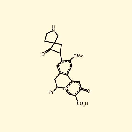 COc1cc2c(cc1C1CC3(CCNC3)C1=O)CC(C(C)C)n1cc(C(=O)O)c(=O)cc1-2